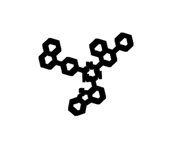 c1ccc(-c2ccc(-c3nc(-c4ccc(-c5cccc6ccccc56)cc4)nc(-c4cccc5c4sc4ccccc45)n3)c3ccccc23)cc1